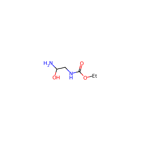 CCOC(=O)NCC(N)O